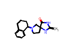 C=C1NC(=O)C2(CCN(C3CCCc4ccccc43)C2)N1